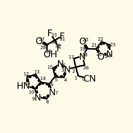 N#CCC1(n2cc(-c3ncnc4[nH]ccc34)cn2)CN(C(=O)c2ccno2)C1.O=C(O)C(F)(F)F